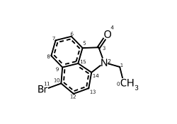 CCN1C(=O)c2cccc3c(Br)ccc1c23